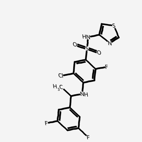 CC(Nc1cc(F)c(S(=O)(=O)Nc2cscn2)cc1Cl)c1cc(F)cc(F)c1